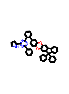 c1ccc(-c2nc(-c3ccc[nH]3)nc(-c3ccccc3-c3ccc4c(c3)Oc3cc5c(cc3O4)C(c3ccccc3)(c3ccccc3)c3ccccc3-5)n2)cc1